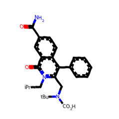 CC(C)Cn1c(CN(C(=O)O)C(C)(C)C)c(-c2ccccc2)c2ccc(C(N)=O)cc2c1=O